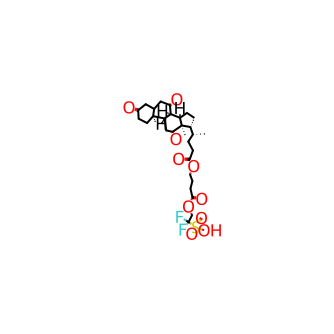 C[C@H](CCC(=O)OCCCC(=O)OCC(F)(F)S(=O)(=O)O)[C@H]1CC[C@H]2[C@@H]3C(=O)CC4CC(=O)CC[C@]4(C)[C@H]3CC(=O)[C@]12C